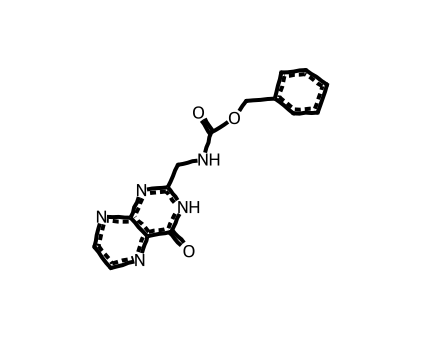 O=C(NCc1nc2nccnc2c(=O)[nH]1)OCc1ccccc1